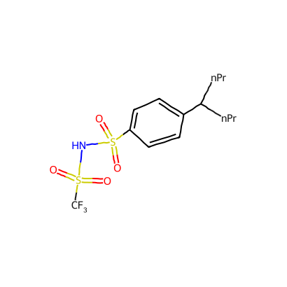 CCCC(CCC)c1ccc(S(=O)(=O)NS(=O)(=O)C(F)(F)F)cc1